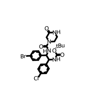 CC(C)(C)OC(=O)NC(c1ccc(Cl)cc1)C(NC(=O)N1CCNC(=O)C1)c1ccc(Br)cc1